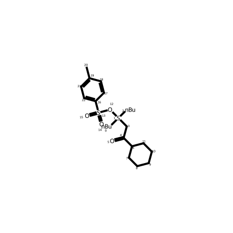 CCCCS(CCCC)(CC(=O)C1CCCCC1)OS(=O)(=O)c1ccc(C)cc1